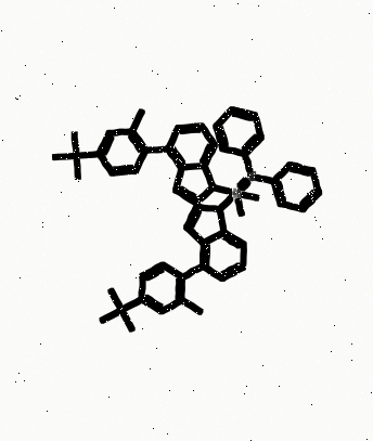 Cc1cc(C(C)(C)C)ccc1-c1cccc2c1C=C[CH]2[Hf]([CH3])([CH3])([CH]1C=Cc2c(-c3ccc(C(C)(C)C)cc3C)cccc21)=[Si](c1ccccc1)c1ccccc1